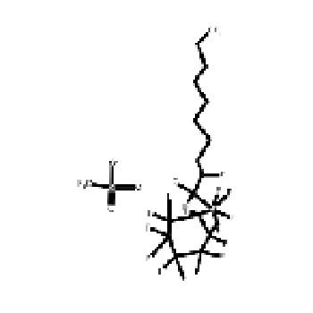 FC(CCCCCCCC(F)(F)F)C(F)(F)[I+](F)(F)(F)(F)C1(F)C(F)(F)C(F)(F)C(F)(F)C(F)(F)C1(F)F.O=S(=O)([O-])C(F)(F)F